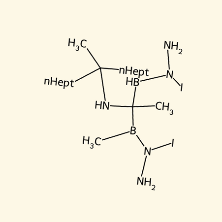 CCCCCCCC(C)(CCCCCCC)NC(C)(BN(N)I)B(C)N(N)I